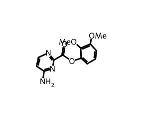 COc1cccc(OC(=O)c2nccc(N)n2)c1OC